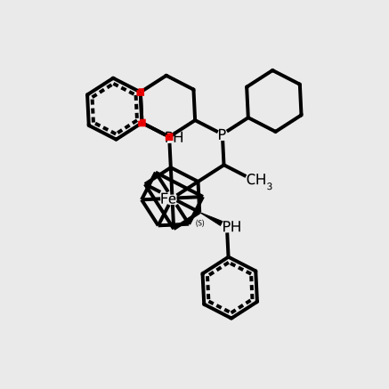 CC(P(C1CCCCC1)C1CCCCC1)[C]12[C]3(Pc4ccccc4)[CH]4[CH]5[C@]1(Pc1ccccc1)[Fe]45321678[CH]2[CH]1[CH]6[CH]7[CH]28